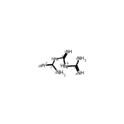 CCCC(N)NC(=N)NC(=N)N